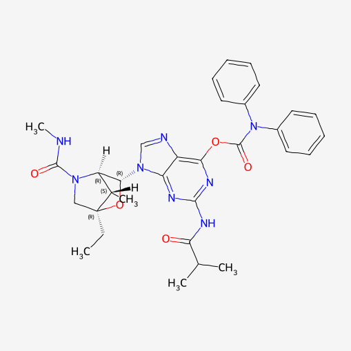 CC[C@@]12CN(C(=O)NC)[C@@H]([C@H](n3cnc4c(OC(=O)N(c5ccccc5)c5ccccc5)nc(NC(=O)C(C)C)nc43)O1)[C@@H]2C